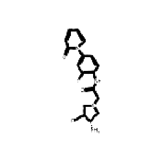 N[C@H]1CN(CC(=O)Nc2ccc(-n3ccccc3=O)cc2F)CC1F